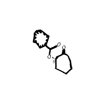 O=C(O[C@H]1CCCCC1=O)c1ccccc1